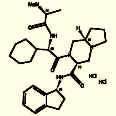 CN[C@@H](C)C(=O)N[C@H](C(=O)N1C[C@H]2CCCN2C[C@H]1C(=O)N[C@@H]1CCc2ccccc21)C1CCCCC1.Cl.Cl